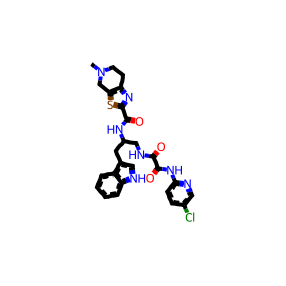 CN1CCc2nc(C(=O)NC(CNC(=O)C(=O)Nc3ccc(Cl)cn3)Cc3c[nH]c4ccccc34)sc2C1